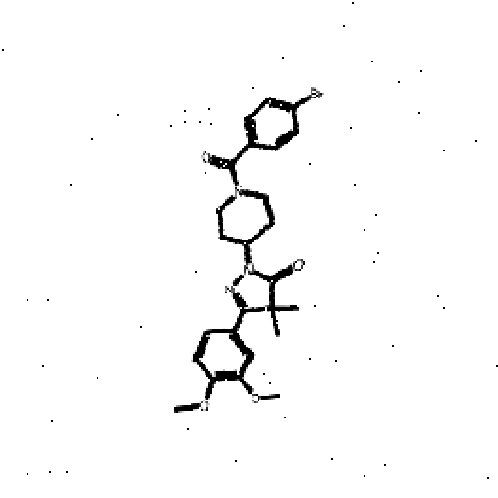 COc1ccc(C2=NN(C3CCN(C(=O)c4ccc(Br)cc4)CC3)C(=O)C2(C)C)cc1OC